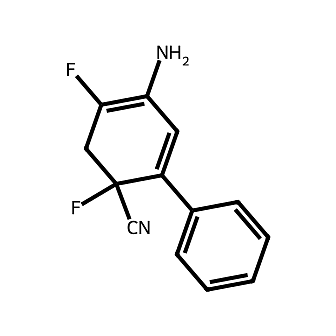 N#CC1(F)CC(F)=C(N)C=C1c1ccccc1